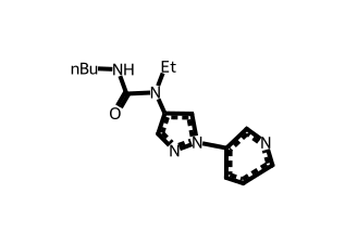 CCCCNC(=O)N(CC)c1cnn(-c2cccnc2)c1